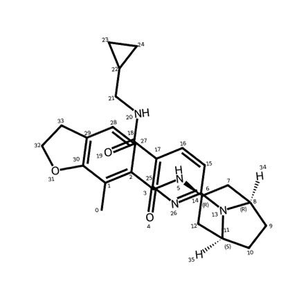 Cc1c(C(=O)N[C@H]2C[C@H]3CC[C@@H](C2)N3c2ccc(C(=O)NCC3CC3)cn2)ccc2c1OCC2